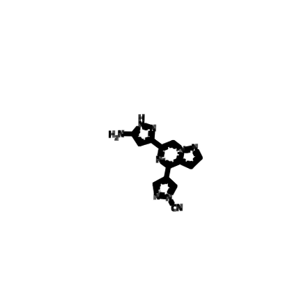 N#Cn1cc(-c2nc(-c3cc(N)[nH]n3)cn3nccc23)cn1